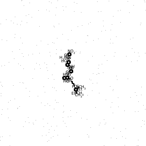 CCC(C)(C)c1ccc(OCCCCNC(=O)c2cc(NS(=O)(=O)c3cccc(S(=O)(=O)Nc4cccc5c(O)c(N=Nc6ccc([N+](=O)[O-])cc6S(C)(=O)=O)ccc45)c3)c3ccccc3c2O)c(C(C)(C)CC)c1